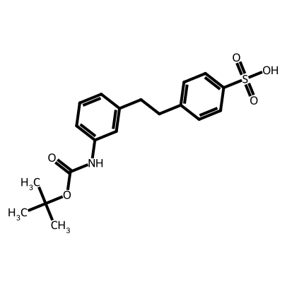 CC(C)(C)OC(=O)Nc1cccc(CCc2ccc(S(=O)(=O)O)cc2)c1